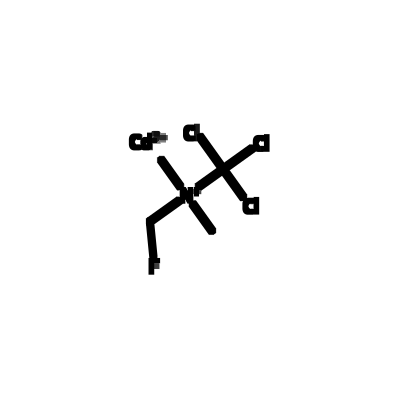 C[N+](C)(CF)C(Cl)(Cl)Cl.[Cd+2]